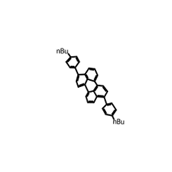 CCCCc1ccc(-c2ccc3c4cccc5c(-c6ccc(CCCC)cc6)ccc(c6cccc2c63)c54)cc1